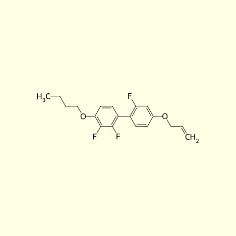 C=CCOc1ccc(-c2ccc(OCCCC)c(F)c2F)c(F)c1